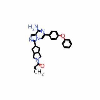 C=CC(=O)N1CC2CC(c3ncc4c(N)nc(-c5ccc(Oc6ccccc6)cc5)cn34)CC2C1